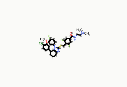 COc1cc(C2CCCc3nc(SCc4c(F)cc(C(=O)NCCN(C)C)cc4F)n(-c4ccc(F)cc4)c32)ccc1Cl